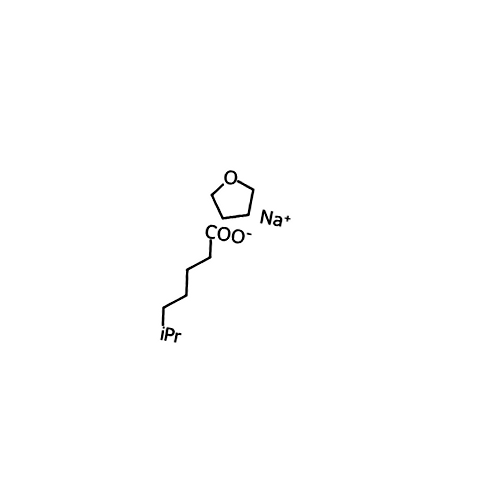 C1CCOC1.CC(C)CCCCC(=O)[O-].[Na+]